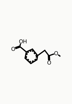 COC(=O)Cc1cccc(C(=O)O)c1